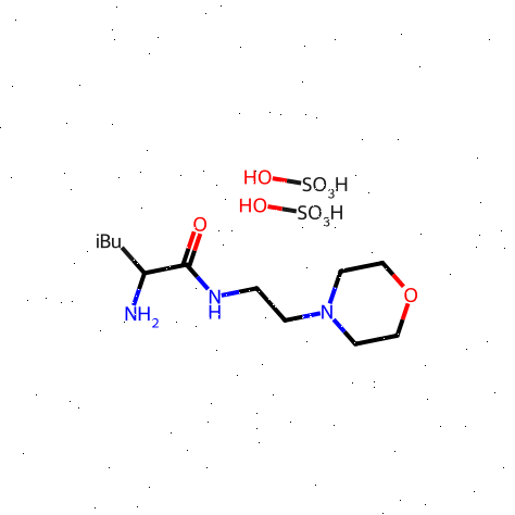 CCC(C)C(N)C(=O)NCCN1CCOCC1.O=S(=O)(O)O.O=S(=O)(O)O